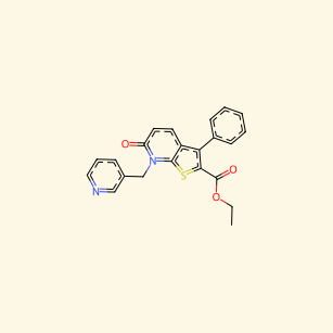 CCOC(=O)c1sc2c(ccc(=O)n2Cc2cccnc2)c1-c1ccccc1